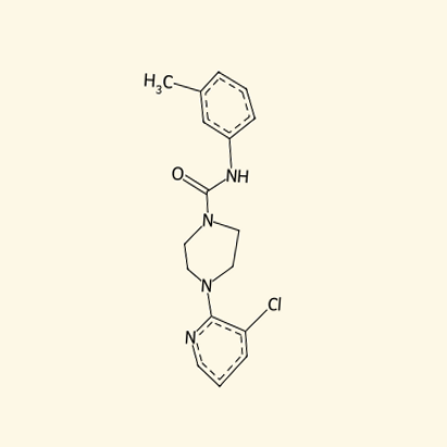 Cc1cccc(NC(=O)N2CCN(c3ncccc3Cl)CC2)c1